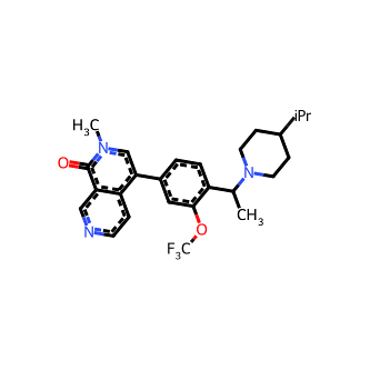 CC(C)C1CCN(C(C)c2ccc(-c3cn(C)c(=O)c4cnccc34)cc2OC(F)(F)F)CC1